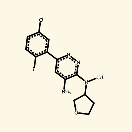 CN(c1nnc(-c2cc(Cl)ccc2F)cc1N)C1CCOC1